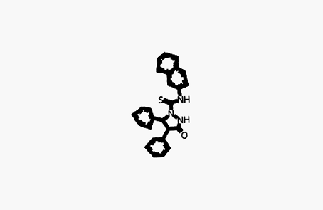 O=C1NN(C(=S)Nc2ccc3ccccc3c2)C(c2ccccc2)C1c1ccccc1